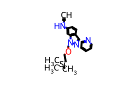 C#CNc1ccc2cnn(COCC[Si](C)(C)C)c2c1.c1ccncc1